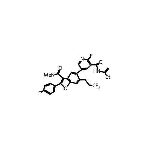 C=C(CC)NC(=O)c1cc(-c2cc3c(C(=O)NC)c(-c4ccc(F)cc4)oc3cc2CCC(F)(F)F)cnc1F